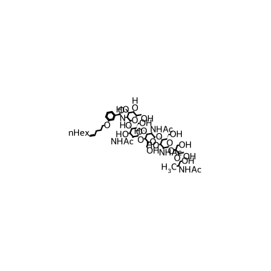 CCCCCC/C=C\CCCOc1cccc(C(=O)N[C@@H]2C(O[C@H]3C(O)C(NC(C)=O)[C@H](OC4C(CO)O[C@@H](O[C@H]5C(O)C(NC(C)=O)C(OC(CO)C(CO)OC(O)[C@H](C)NC(C)=O)O[C@H]5CO)[C@@H](NC(C)=O)[C@H]4O)O[C@H]3CO)OC(CO)[C@@H](O)[C@@H]2O)c1